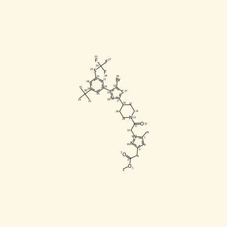 COC(=O)Cc1cc(C)n(CC(=O)N2CCC(c3nc(-c4cc(SC(F)(F)F)cc(C(C)(C)C)c4)c(Br)s3)CC2)n1